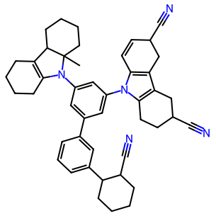 CC12CCCCC1C1=C(CCCC1)N2c1cc(-c2cccc(C3CCCCC3C#N)c2)cc(-n2c3c(c4c2CCC(C#N)C4)CC(C#N)C=C3)c1